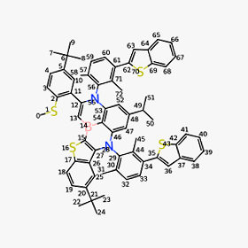 CSc1ccc(C(C)(C)C)cc1C1=CB2c3sc4ccc(C(C)(C)C)cc4c3N(c3c(C)ccc(-c4cc5ccccc5s4)c3C)c3cc(C(C)C)cc(c32)N1c1c(C)ccc(-c2cc3ccccc3s2)c1C